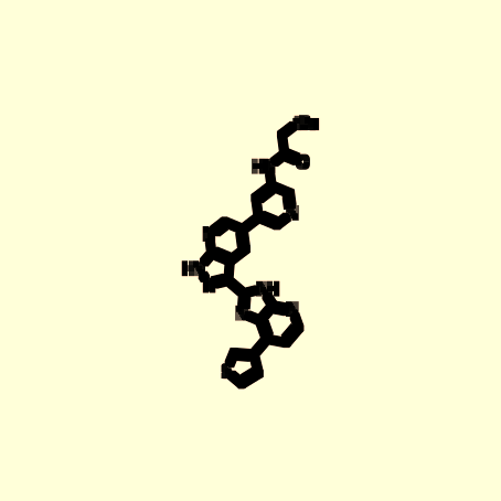 CC(C)(C)CC(=O)Nc1cncc(-c2cnc3[nH]nc(-c4nc5c(-c6ccsc6)ccnc5[nH]4)c3c2)c1